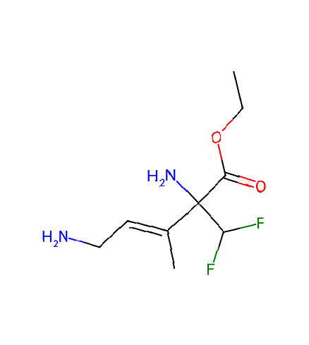 CCOC(=O)C(N)(/C(C)=C/CN)C(F)F